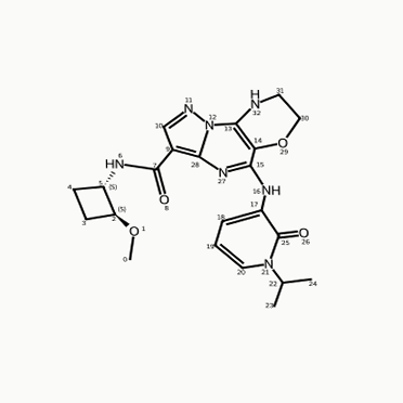 CO[C@H]1CC[C@@H]1NC(=O)c1cnn2c3c(c(Nc4cccn(C(C)C)c4=O)nc12)OCCN3